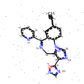 C#Cc1ccc2c(c1)C(c1ccccn1)=NCc1c(-c3ncno3)ncn1-2